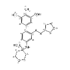 COc1cc(-c2ccc(NC3(C(=O)O)CCOCC3)cc2CCC2CCOC2)cc(C)c1C